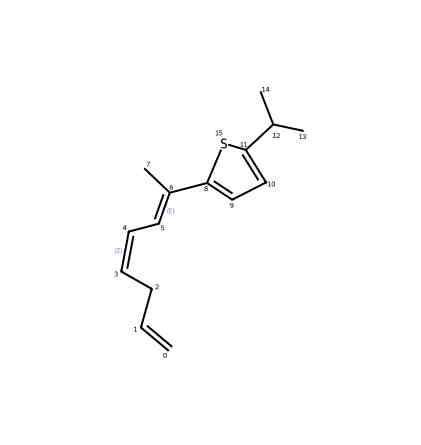 C=CC/C=C\C=C(/C)c1ccc(C(C)C)s1